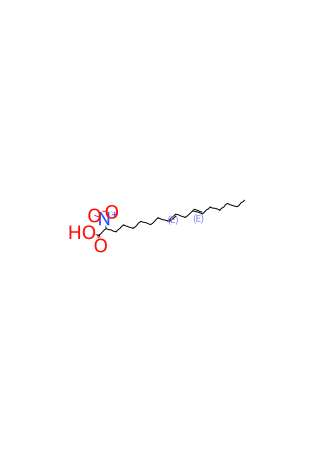 CCCCC/C=C/C/C=C/CCCCCCC(C(=O)O)[N+](=O)[O-]